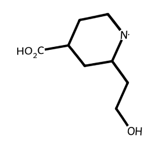 O=C(O)C1CC[N]C(CCO)C1